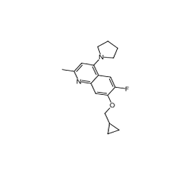 Cc1cc(N2CCCC2)c2cc(F)c(OCC3CC3)cc2n1